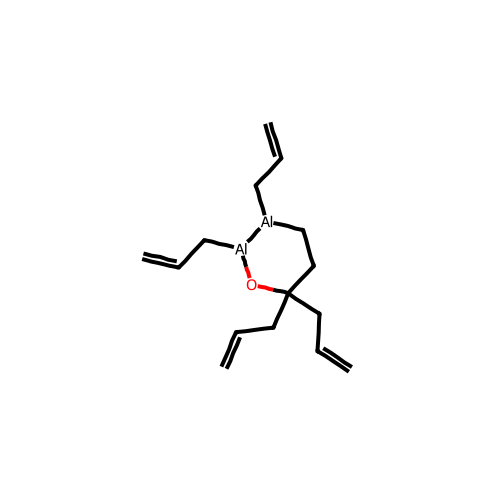 C=C[CH2][Al]1[CH2]CC(CC=C)(CC=C)[O][Al]1[CH2]C=C